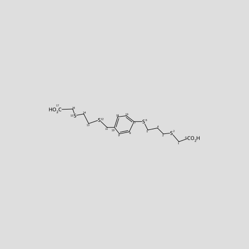 O=C(O)CSCCCSc1ccc(CSCCSCC(=O)O)cc1